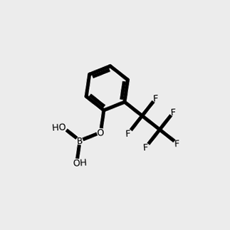 OB(O)Oc1ccccc1C(F)(F)C(F)(F)F